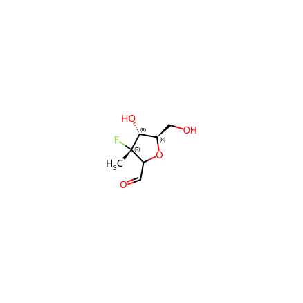 C[C@]1(F)C(C=O)O[C@H](CO)[C@H]1O